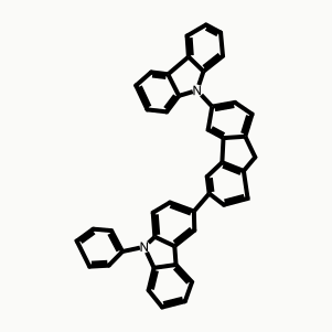 c1ccc(-n2c3ccccc3c3cc(-c4ccc5c(c4)-c4cc(-n6c7ccccc7c7ccccc76)ccc4C5)ccc32)cc1